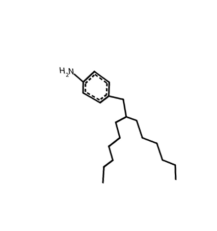 CCCCCCC(CCCCCC)Cc1ccc(N)cc1